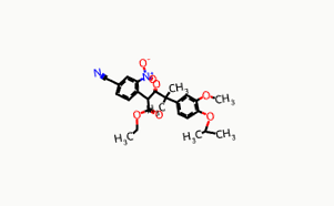 CCOC(=O)C(C(=O)C(C)(C)c1ccc(OC(C)C)c(OC)c1)c1ccc(C#N)cc1[N+](=O)[O-]